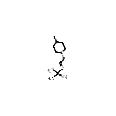 CC1CCN(CCOC(N)(N)N)CC1